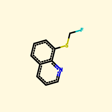 FCSc1cccc2cccnc12